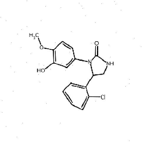 COc1ccc(N2C(=O)NCC2c2ccccc2Cl)cc1O